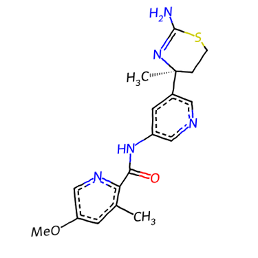 COc1cnc(C(=O)Nc2cncc([C@]3(C)CCSC(N)=N3)c2)c(C)c1